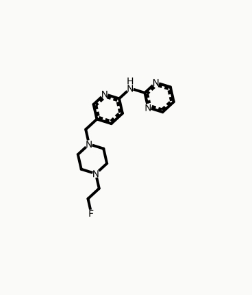 FCCN1CCN(Cc2ccc(Nc3ncccn3)nc2)CC1